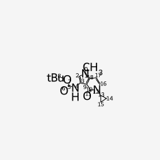 Cn1cc(NC(=O)OC(C)(C)C)c2c(=O)n(C3CC3)ccc21